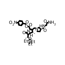 CC[Si](CC)(CC)O[C@H](C)C1C(=O)N2C(C(=O)OC(=O)c3ccc([N+](=O)[O-])cc3)=C(CN3CC[C@H](C(=O)NCC(N)=O)C3)[C@H](C)[C@H]12